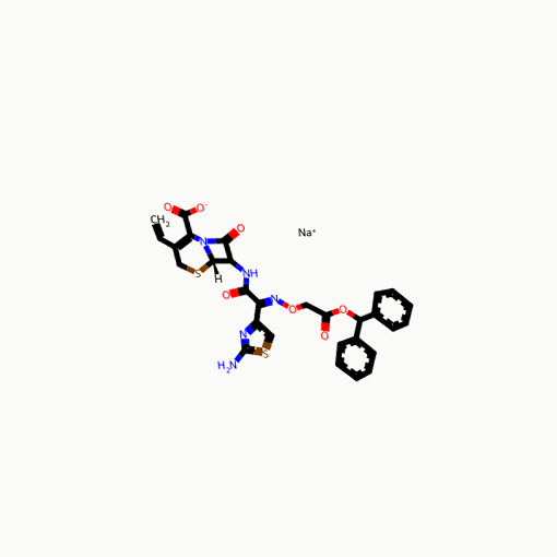 C=CC1=C(C(=O)[O-])N2C(=O)C(NC(=O)C(=NOCC(=O)OC(c3ccccc3)c3ccccc3)c3csc(N)n3)[C@@H]2SC1.[Na+]